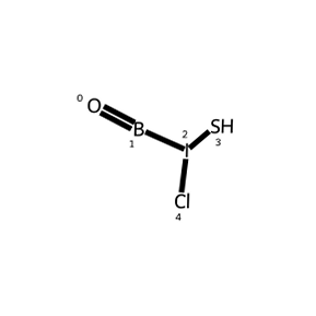 O=BI(S)Cl